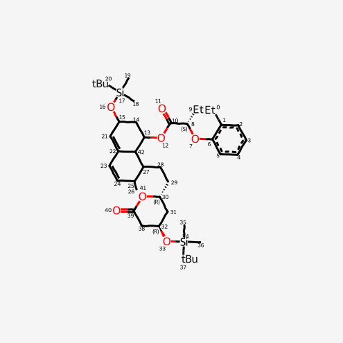 CCc1ccccc1O[C@@H](CC)C(=O)OC1CC(O[Si](C)(C)C(C)(C)C)C=C2C=CC(C)C(CC[C@@H]3C[C@@H](O[Si](C)(C)C(C)(C)C)CC(=O)O3)C21